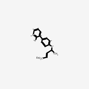 CCOC(=O)/C=C/C(C)Sc1ccc(-c2cccnc2F)cc1